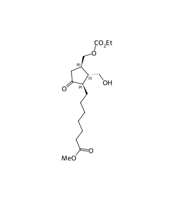 CCOC(=O)OC[C@@H]1CC(=O)[C@H](CCCCCCC(=O)OC)[C@H]1CO